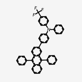 FC(F)(F)c1ccc(N(c2ccccc2)c2ccc(-c3ccc4c(-c5ccccc5)c5ccccc5c(-c5ccccc5)c4c3)cc2)cc1